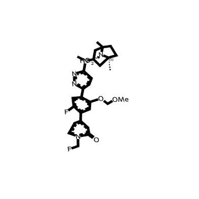 COCOc1cc(-c2ccn(CF)c(=O)c2)c(F)cc1-c1ccc(N(C)C2CC3(C)CC[C@@](C)(C2)N3C(=O)O)nn1